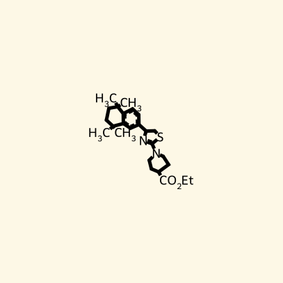 CCOC(=O)C1CCN(C2=NC(c3ccc4c(c3)C(C)(C)CCC4(C)C)CS2)CC1